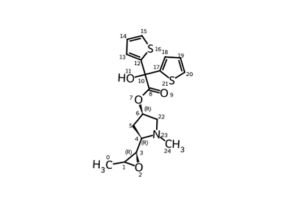 CC1O[C@@H]1[C@H]1C[C@@H](OC(=O)C(O)(c2cccs2)c2cccs2)CN1C